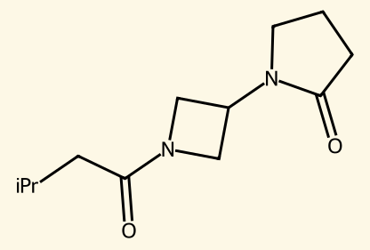 CC(C)CC(=O)N1CC(N2CCCC2=O)C1